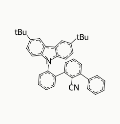 CC(C)(C)c1ccc2c(c1)c1cc(C(C)(C)C)ccc1n2-c1ccccc1-c1cccc(-c2ccccc2)c1C#N